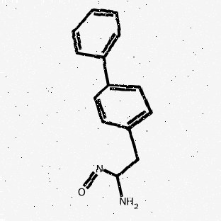 NC(Cc1ccc(-c2ccccc2)cc1)N=O